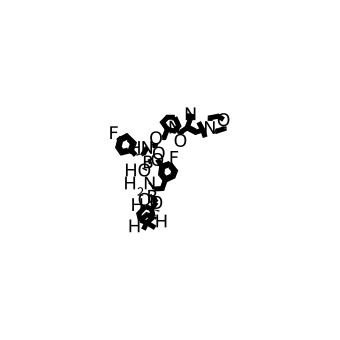 CC1(C)[C@@H]2C[C@H]3OB([C@@H](N)Cc4ccc(F)c(OB(O)[C@H](Cc5ccc(F)cc5)NC(=O)OCC56CCC(CC5)N6C(=O)/C(C#N)=C/C(C)(C)N5CCOCC5)c4)O[C@@]3(C)[C@H]1C2